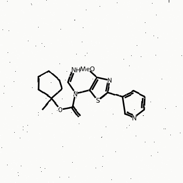 C=C(OC1(C)CCCCC1)N(C=N)c1sc(-c2cccnc2)nc1OC